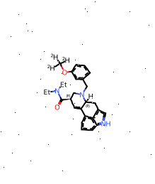 [2H]C([2H])([2H])Oc1cccc(CN2C[C@H](C(=O)N(CC)CC)C=C3c4cccc5[nH]cc(c45)C[C@H]32)c1